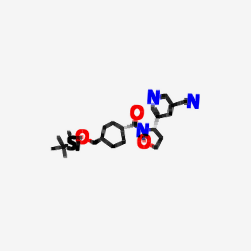 CC(C)(C)[Si](C)(C)OC[C@H]1CC[C@H](C(=O)N2OCC[C@H]2c2cncc(C#N)c2)CC1